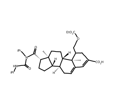 CCOC(=O)OCC1CC(C(=O)O)=CC2=CC[C@H]3[C@@H]4CC[C@H](C(=O)N(C(=O)NC(C)C)C(C)C)[C@@]4(C)CC[C@@H]3[C@]21C